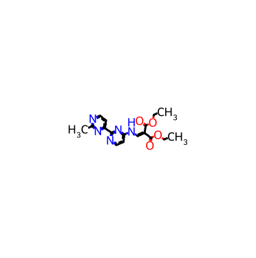 CCOC(=O)C(=CNc1ccnc(-c2ccnc(C)n2)n1)C(=O)OCC